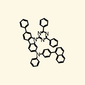 c1ccc(-c2ccc3c4ccc(N(c5ccccc5)c5ccc(-c6cccc7ccccc67)cc5)cc4n(-c4nc(-c5ccccc5)nc(-c5ccccc5)n4)c3c2)cc1